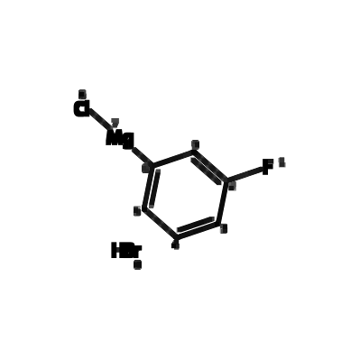 Br.Fc1ccc[c]([Mg][Cl])c1